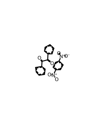 O=C(C(=O)c1ccccc1)c1ccccc1.O=[N+]([O-])c1ccc([N+](=O)[O-])cc1